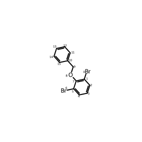 Brc1cccc(Br)c1OCc1ccccc1